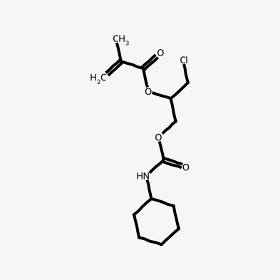 C=C(C)C(=O)OC(CCl)COC(=O)NC1CCCCC1